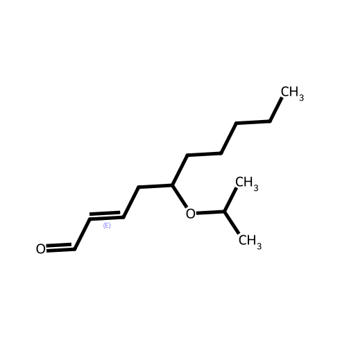 CCCCCC(C/C=C/C=O)OC(C)C